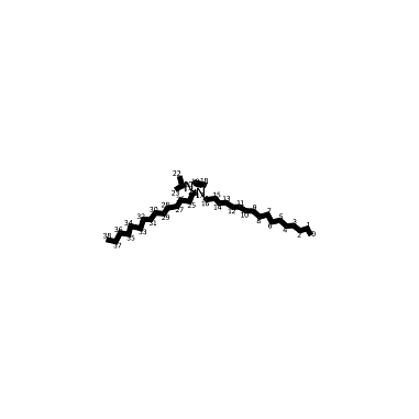 CCCCCCCCCCCCCCCCCN1C=CN(C(C)C)C1CCCCCCCCCCCCCC